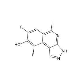 Cc1nc2[nH]ncc2c2c(F)c(O)c(F)cc12